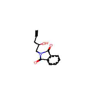 C#CCC(O)CN1C(=O)c2ccccc2C1=O